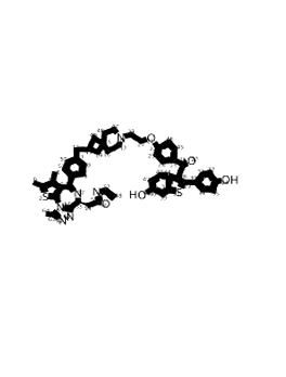 Cc1sc2c(c1C)C(c1ccc(CC3CC4(CCN(CCOc5ccc(C(=O)c6c(-c7ccc(O)cc7)sc7cc(O)ccc67)cc5)CC4)C3)cc1)=N[C@@H](Cc1ncco1)c1nnc(C)n1-2